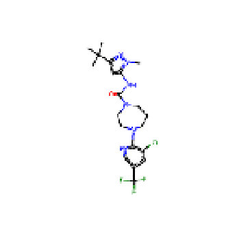 Cn1nc(C(C)(C)C)cc1NC(=O)N1CCCN(c2ncc(C(F)(F)F)cc2Cl)CC1